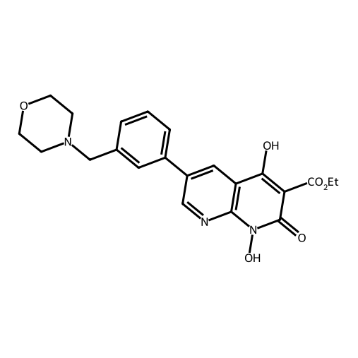 CCOC(=O)c1c(O)c2cc(-c3cccc(CN4CCOCC4)c3)cnc2n(O)c1=O